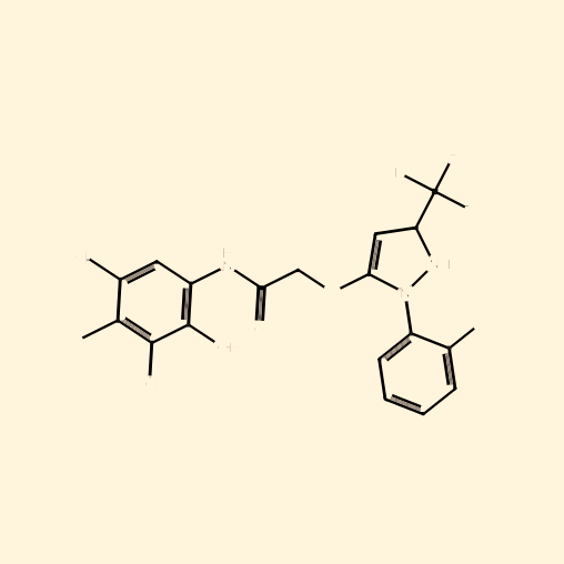 Cc1c(Cl)cc(NC(=O)COC2=CC(C(F)(F)F)NN2c2ccccc2Cl)c(O)c1Cl